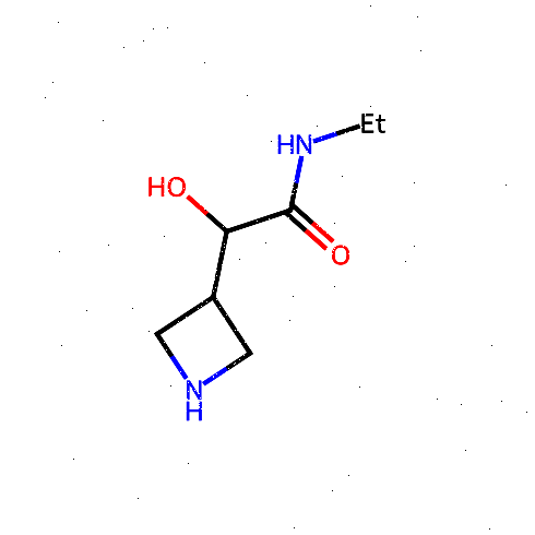 CCNC(=O)C(O)C1CNC1